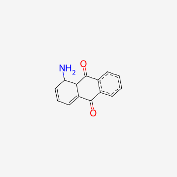 NC1C=CC=C2C(=O)c3ccccc3C(=O)C21